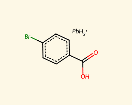 O=C(O)c1ccc(Br)cc1.[PbH2]